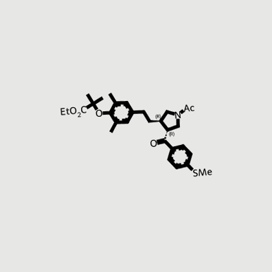 CCOC(=O)C(C)(C)Oc1c(C)cc(CC[C@H]2CN(C(C)=O)C[C@@H]2C(=O)c2ccc(SC)cc2)cc1C